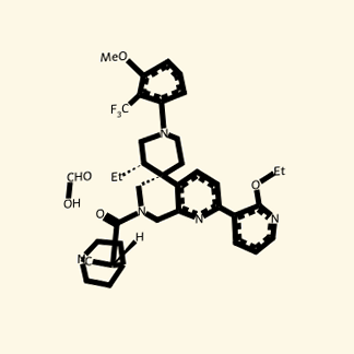 CCOc1ncccc1-c1ccc2c(n1)CN(C(=O)[C@H]1CN3CCC1CC3)C[C@]21CCN(c2cccc(OC)c2C(F)(F)F)C[C@H]1CC.O=CO